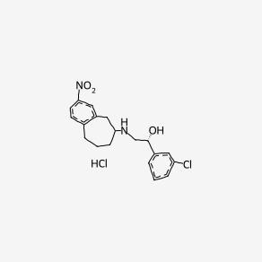 Cl.O=[N+]([O-])c1ccc2c(c1)CC(NC[C@H](O)c1cccc(Cl)c1)CCC2